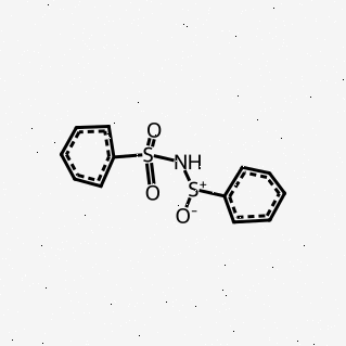 O=S(=O)(N[S+]([O-])c1ccccc1)c1ccccc1